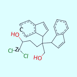 OCC(CC[CH](O)[Zr]([Cl])[Cl])(C1C=Cc2ccccc21)C1C=Cc2ccccc21